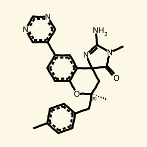 Cc1ccc(C[C@]2(C)CC3(N=C(N)N(C)C3=O)c3cc(-c4cncnc4)ccc3O2)cc1